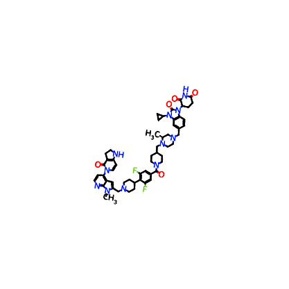 C[C@H]1CN(Cc2ccc3c(c2)n(C2CC2)c(=O)n3C2CCC(=O)NC2=O)CCN1CC1CCN(C(=O)c2cc(F)c(C3CCN(Cc4cc5c(-n6ccc7c(c6=O)CCN7)ccnc5n4C)CC3)c(F)c2)CC1